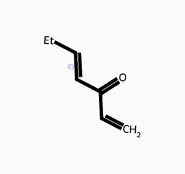 C=CC(=O)/C=C/CC